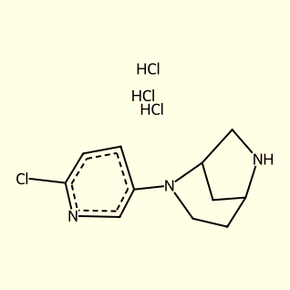 Cl.Cl.Cl.Clc1ccc(N2CCC3CC2CN3)cn1